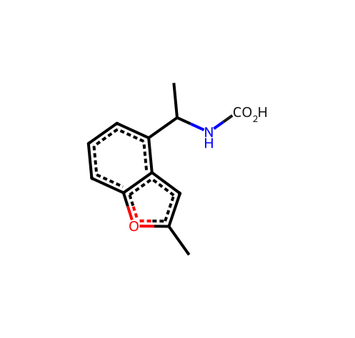 Cc1cc2c(C(C)NC(=O)O)cccc2o1